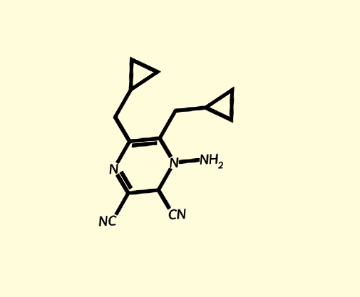 N#CC1=NC(CC2CC2)=C(CC2CC2)N(N)C1C#N